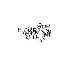 CC(=O)N(c1cccs1)C1C(=O)N2CC(CSc3nnnn3C)(C(=O)O)CS[C@H]12